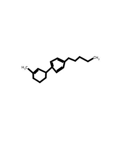 CCCCCc1ccc(C2C=C(C)CCC2)cc1